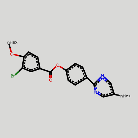 CCCCCCOc1ccc(C(=O)Oc2ccc(-c3ncc(CCCCCC)cn3)cc2)cc1Br